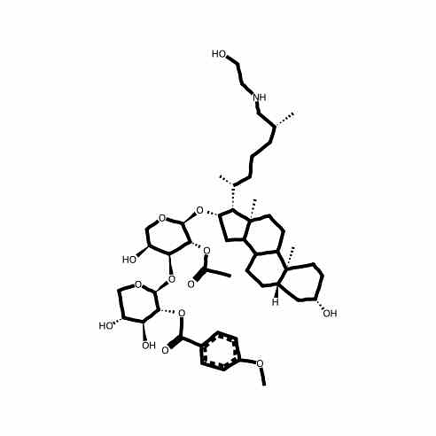 COc1ccc(C(=O)O[C@H]2[C@H](O[C@@H]3[C@@H](OC(C)=O)[C@H](O[C@H]4CC5C6CC[C@H]7C[C@@H](O)CC[C@]7(C)C6CC[C@]5(C)[C@H]4[C@H](C)CCC[C@@H](C)CNCCO)OC[C@@H]3O)OC[C@@H](O)[C@@H]2O)cc1